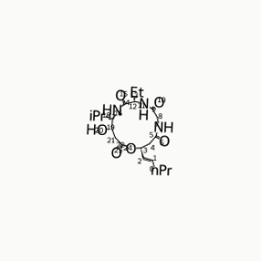 CCC/C=C/[C@@H]1CC(=O)NCC(=O)N[C@H](CC)C(=O)N[C@H](C(C)C)[C@@H](O)CC(=O)O1